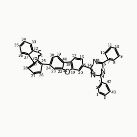 c1ccc(-c2nc(-c3ccccc3)nc(-c3ccc4c(c3)oc3cc(-c5cccc6c5sc5ccccc56)ccc34)n2)cc1